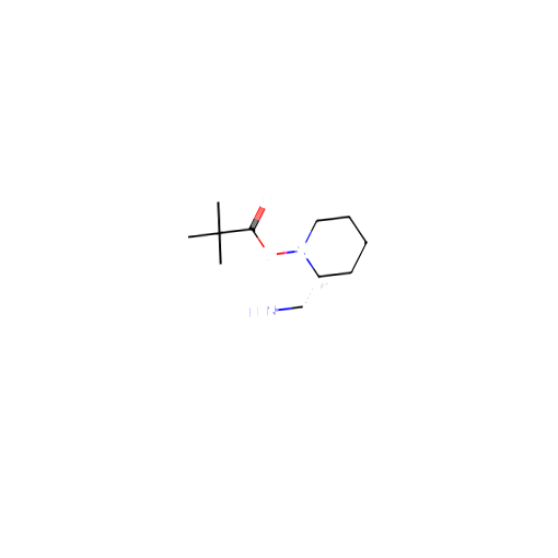 CC(C)(C)C(=O)ON1CCCC[C@@H]1CN